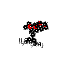 CC(C)(C)c1ccc2c(c1)c1cc(C(C)(C)C)ccc1n2-c1ccc2c(c1)Oc1cc(-n3c4ccccc4c4ccccc43)cc3c1B2c1ccc(-c2ccc(-c4ccccc4)c(-n4c5ccccc5c5ccccc54)c2-n2c4ccccc4c4ccccc42)cc1N3c1ccccc1-c1ccccc1